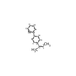 C/C=C(/C)c1ccc(-c2ccccn2)cc1